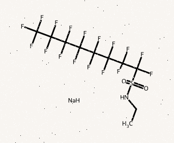 CCNS(=O)(=O)C(F)(F)C(F)(F)C(F)(F)C(F)(F)C(F)(F)C(F)(F)C(F)(F)C(F)(F)F.[NaH]